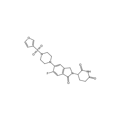 O=C1CCC(N2Cc3cc(N4CCN(S(=O)(=O)c5ccoc5)CC4)c(F)cc3C2=O)C(=O)N1